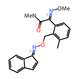 CNC(=O)/C(=N/OC)c1cccc(C)c1CO/N=C1\C=Cc2ccccc21